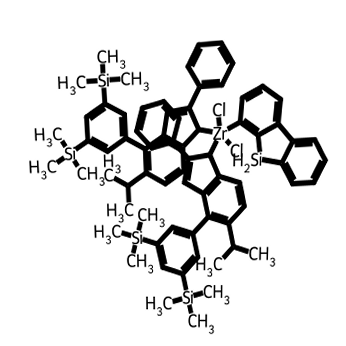 CC(C)c1ccc2c(c1-c1cc([Si](C)(C)C)cc([Si](C)(C)C)c1)C=C(c1ccccc1)[CH]2[Zr]([Cl])([Cl])([c]1cccc2c1[SiH2]c1ccccc1-2)[CH]1C(c2ccccc2)=Cc2c1ccc(C(C)C)c2-c1cc([Si](C)(C)C)cc([Si](C)(C)C)c1